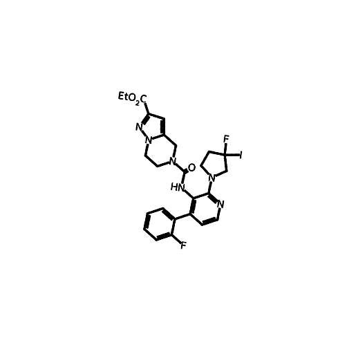 CCOC(=O)c1cc2n(n1)CCN(C(=O)Nc1c(-c3ccccc3F)ccnc1N1CCC(F)(I)C1)C2